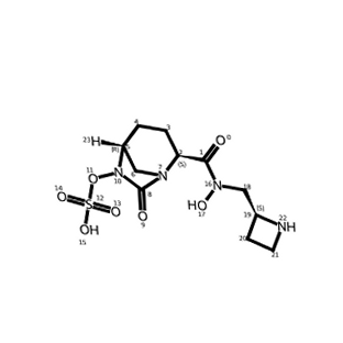 O=C([C@@H]1CC[C@@H]2CN1C(=O)N2OS(=O)(=O)O)N(O)C[C@@H]1CCN1